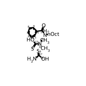 CCCCCCCCNC(=O)c1ccccc1.CN(C)C(O)=S.NC(O)=S